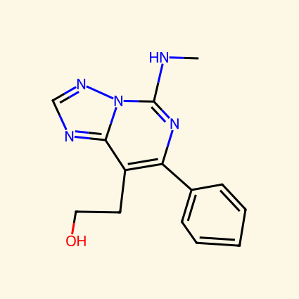 CNc1nc(-c2ccccc2)c(CCO)c2ncnn12